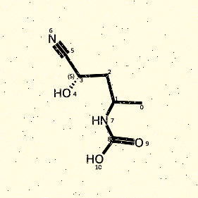 CC(C[C@H](O)C#N)NC(=O)O